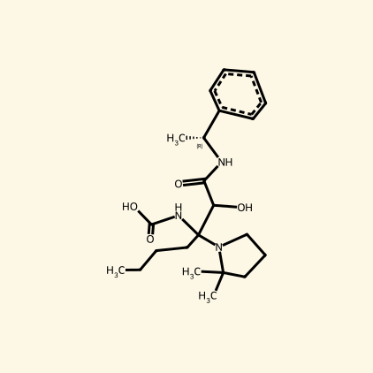 CCCCC(NC(=O)O)(C(O)C(=O)N[C@H](C)c1ccccc1)N1CCCC1(C)C